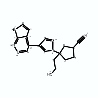 N#CC1CCC(CCO)(n2cc(-c3cnnc4[nH]ccc34)cn2)C1